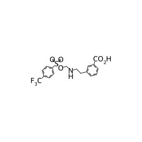 O=C(O)c1cccc(CCNCOS(=O)(=O)c2ccc(C(F)(F)F)cc2)c1